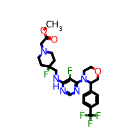 COC(=O)CN1CCC(F)(CNc2ncnc(N3CCOCC3c3ccc(C(F)(F)F)cc3)c2F)CC1